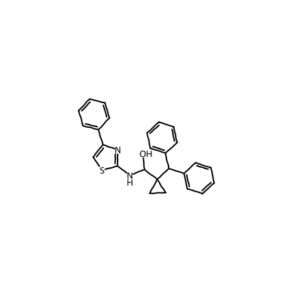 OC(Nc1nc(-c2ccccc2)cs1)C1(C(c2ccccc2)c2ccccc2)CC1